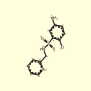 Nc1ccc(Cl)c(S(=O)(=O)NCc2ccccn2)c1